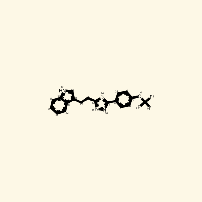 FC(F)(F)Oc1ccc(-c2nnc(CCc3c[nH]c4ccccc34)o2)cc1